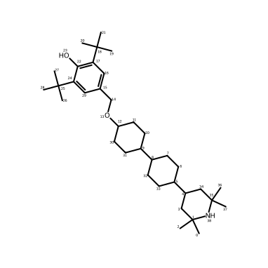 CC1(C)CC(C2CCC(C3CCC(OCc4cc(C(C)(C)C)c(O)c(C(C)(C)C)c4)CC3)CC2)CC(C)(C)N1